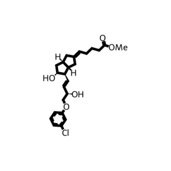 COC(=O)CCCC=C1C[C@@H]2C[C@@H](O)[C@H](C=C[C@H](O)COc3cccc(Cl)c3)[C@H]2C1